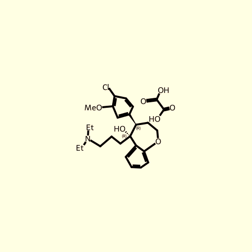 CCN(CC)CCC[C@]1(O)c2ccccc2OCC[C@@H]1c1ccc(Cl)c(OC)c1.O=C(O)C(=O)O